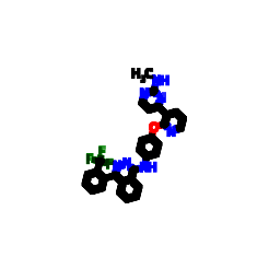 CNc1nccc(-c2cccnc2Oc2ccc(Nc3nnc(-c4ccccc4C(F)(F)F)c4ccccc34)cc2)n1